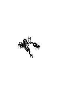 N#CCCN1CCN(c2cc(N3CCCC3C(=O)NCCc3ccc(C(F)(F)F)cc3)nc(C(F)(F)F)n2)CC1